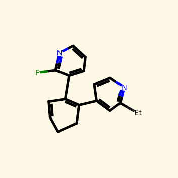 CCc1cc(C2=C(c3cccnc3F)C=CC[CH]2)ccn1